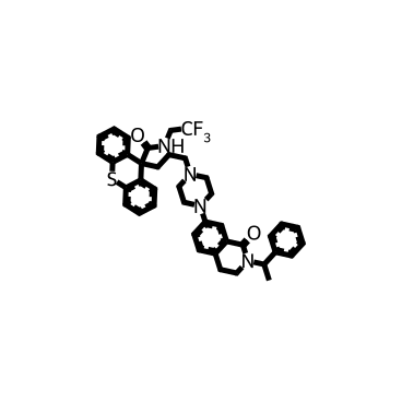 CC(c1ccccc1)N1CCc2ccc(N3CCN(CCCC4(C(=O)NCC(F)(F)F)c5ccccc5Sc5ccccc54)CC3)cc2C1=O